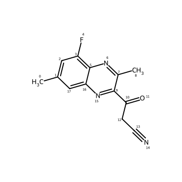 Cc1cc(F)c2nc(C)c(C(=O)CC#N)nc2c1